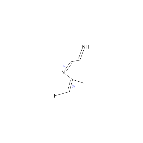 CC(=C/I)/N=C\C=N